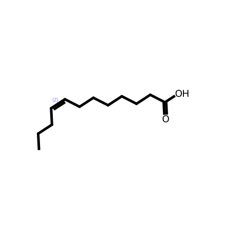 CCC/C=C\CCCCCCC(=O)O